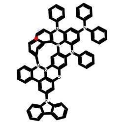 C/C=C\C1=C2B3c4cc5c(cc4N(c4ccccc4)c4cc(N(c6ccccc6)c6ccccc6)cc(c43)N1c1ccccc1)Sc1cc(-n3c4ccccc4c4ccccc43)cc3c1B5N(c1cccc2c1)c1ccccc1-3